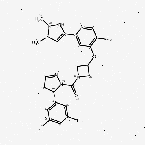 CN1C=C(c2cc(OC3CN(C(=O)N4N=CC[C@H]4c4cc(F)cc(F)c4)C3)c(F)cn2)NN1C